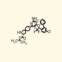 CC(C)OC(=O)[C@@H]1CC2(CCN(c3cc(OC(c4ccc(Cl)cc4-c4ccccc4)C(F)(F)F)nc(N)n3)CC2)CN1